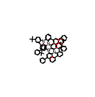 CC(C)(C)c1ccc2c(c1)c1cc(C(C)(C)C)ccc1n2-c1cccc(-c2ccc3c(c2)c2ccccc2n3-c2ccccc2)c1N1c2ccc(-c3ccccc3)cc2B2c3cc(-c4ccccc4)ccc3N(c3c(-c4ccccc4)cccc3-c3ccccc3)c3cc(-c4ccccc4)cc1c32